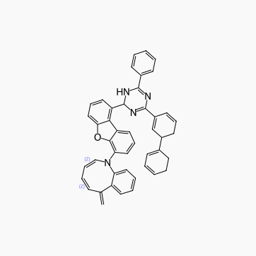 C=C1/C=C\C=C/N(c2cccc3c2oc2cccc(C4N=C(C5=CC(C6=CC=CCC6)CC=C5)N=C(c5ccccc5)N4)c23)c2ccccc21